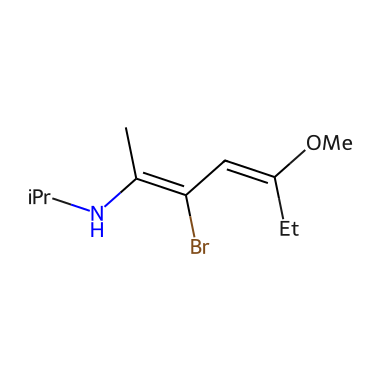 CC/C(=C\C(Br)=C(/C)NC(C)C)OC